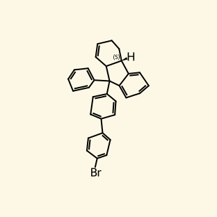 Brc1ccc(-c2ccc(C3(c4ccccc4)c4ccccc4[C@H]4CCC=CC43)cc2)cc1